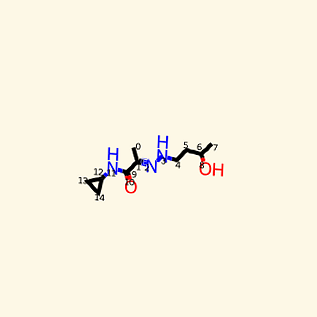 C/C(=N\NCCC(C)O)C(=O)NC1CC1